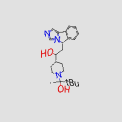 [CH2]C(O)(N1CCC(C(O)CC2c3ccccc3-c3cncn32)CC1)C(C)(C)C